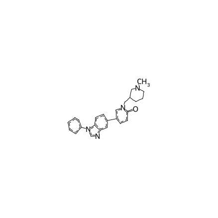 CN1CCCC(Cn2cc(-c3ccc4c(c3)ncn4-c3ccccc3)ccc2=O)C1